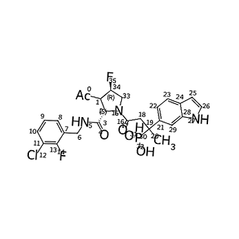 CC(=O)C1[C@@H](C(=O)NCc2cccc(Cl)c2F)N(C(=O)CC(C)(c2ccc3cc[nH]c3c2)[PH](=O)O)C[C@@H]1F